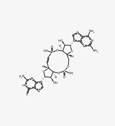 Nc1nc(N)c2ncn([C@@H]3O[C@@H]4COP(=O)(O)O[C@H]5[C@@H](O)[C@H](n6cnc7c(=O)[nH]c(N)nc76)O[C@@H]5/C=C\P(=O)(O)O[C@H]4[C@H]3O)c2n1